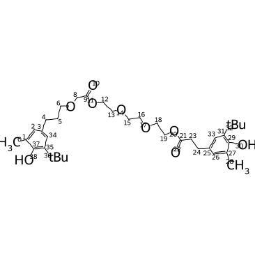 Cc1cc(CCCOCC(=O)OCCOCCOCCOC(=O)CCc2cc(C)c(O)c(C(C)(C)C)c2)cc(C(C)(C)C)c1O